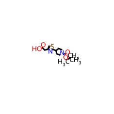 CC(C)(C)OC(=O)N1CCC(c2nc(CC(=O)O)cs2)CC1